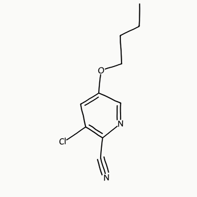 CCCCOc1cnc(C#N)c(Cl)c1